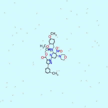 CCOC(=O)c1cc(-c2cccc(C)c2)nn1-c1cc(N2CCOCC2)c([N+](=O)[O-])c(NCc2ccc(OC)cc2OC)n1